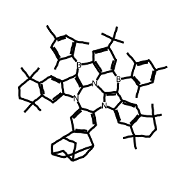 Cc1cc(C)c(B2c3cc(C(C)(C)C)cc4c3-n3c5c2c2cc6c(cc2n5c2cc5c(cc2n2c7cc8c(cc7c(c32)B4c2c(C)cc(C)cc2C)C(C)(C)CCC8(C)C)C2CC3CC(CC5C3)C2)C(C)(C)CCC6(C)C)c(C)c1